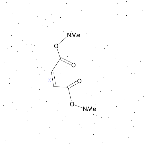 CNOC(=O)/C=C\C(=O)ONC